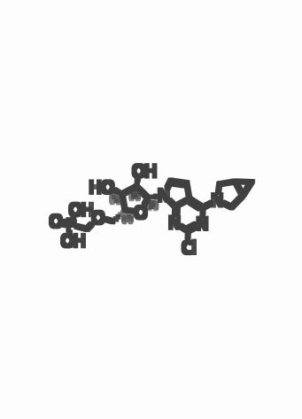 O=P(O)(O)COC[C@H]1O[C@@H](n2ccc3c(N4CC5CC5C4)nc(Cl)nc32)[C@H](O)[C@@H]1O